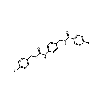 O=C(Nc1ccc(CNC(=O)c2ccc(F)cn2)cc1)OCc1ccc(Cl)cc1